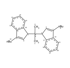 CCCCC1=CC([Si](C)(C)C2C=C(CCCC)c3ccccc32)c2ccccc21